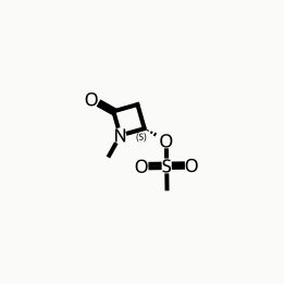 CN1C(=O)C[C@@H]1OS(C)(=O)=O